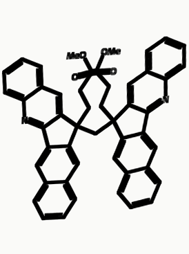 COC(=O)CCC1(CC2(CCC(=O)OC)c3cc4ccccc4cc3-c3nc4ccccc4cc32)c2cc3ccccc3cc2-c2nc3ccccc3cc21